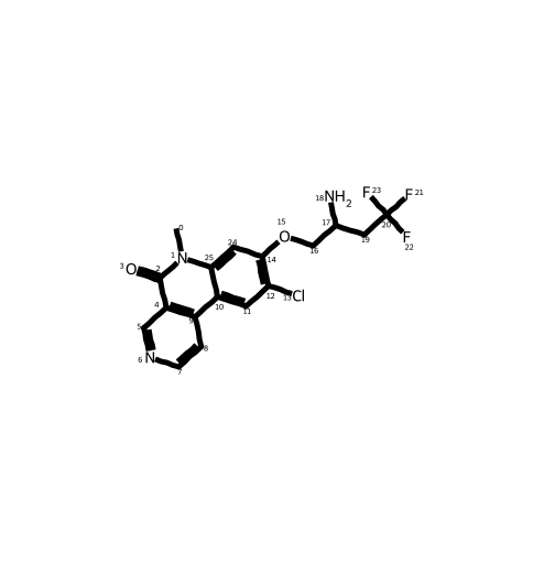 Cn1c(=O)c2cnccc2c2cc(Cl)c(OCC(N)CC(F)(F)F)cc21